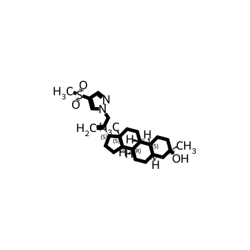 C=C(Cn1cc(S(C)(=O)=O)cn1)[C@H]1CC[C@H]2[C@@H]3CC[C@@H]4C[C@](C)(O)CC[C@@H]4[C@H]3CC[C@]12C